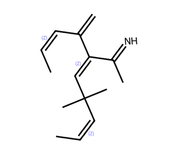 C=C(/C=C\C)/C(=C/C(C)(C)/C=C\C)C(C)=N